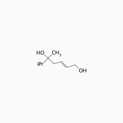 CC(C)C(C)(O)CC=CCO